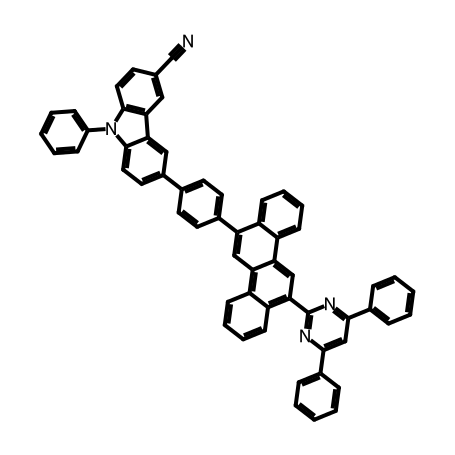 N#Cc1ccc2c(c1)c1cc(-c3ccc(-c4cc5c6ccccc6c(-c6nc(-c7ccccc7)cc(-c7ccccc7)n6)cc5c5ccccc45)cc3)ccc1n2-c1ccccc1